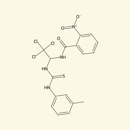 Cc1cccc(NC(=S)NC(NC(=O)c2ccccc2[N+](=O)[O-])C(Cl)(Cl)Cl)c1